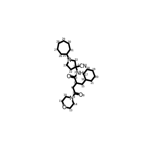 N#CC1(NC(=O)C(CC(=O)N2CCOCC2)CC2CCCCC2)CCN(C2CCCCCC2)C1